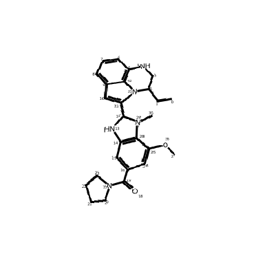 CCC1CNc2cccc3cc(C4Nc5cc(C(=O)N6CCCC6)cc(OC)c5N4C)n1c23